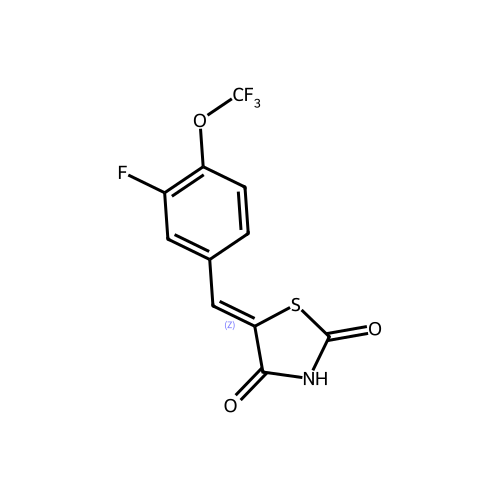 O=C1NC(=O)/C(=C/c2ccc(OC(F)(F)F)c(F)c2)S1